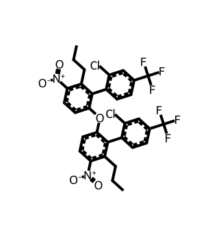 CCCc1c([N+](=O)[O-])ccc(Oc2ccc([N+](=O)[O-])c(CCC)c2-c2ccc(C(F)(F)F)cc2Cl)c1-c1ccc(C(F)(F)F)cc1Cl